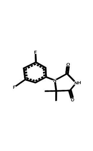 CC1(C)C(=O)NC(=O)N1c1cc(F)cc(F)c1